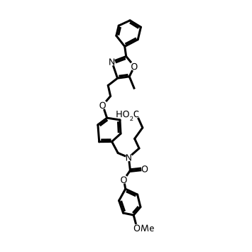 COc1ccc(OC(=O)N(CCCC(=O)O)Cc2ccc(OCCc3nc(-c4ccccc4)oc3C)cc2)cc1